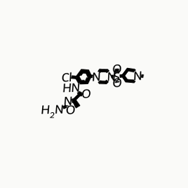 CN1CCC(S(=O)(=O)N2CCN(c3ccc(Cl)c(NC(=O)c4coc(N)n4)c3)CC2)CC1